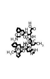 CC(=O)N1CCCC1C(=O)NC(Cc1ccccc1)C(=O)NC(Cc1c[nH]cn1)C(=O)NC(CC(C)C)C(O)CC(=O)NC(CCC(=O)O)C(=O)NC(Cc1ccccc1)C(=O)NCC(N)=O